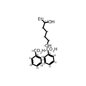 CCC(O)CCCCO.O=C(O)c1ccccc1.O=C(O)c1ccccc1